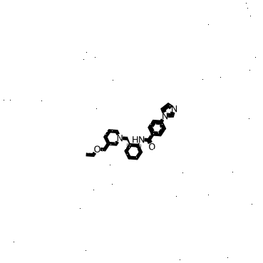 CCOCC1CCCN(C[C@@H]2CCCC[C@H]2NC(=O)c2ccc(-n3ccnc3)cc2)C1